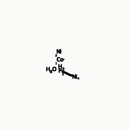 O.[Co].[Ni].[PH2][Ni]